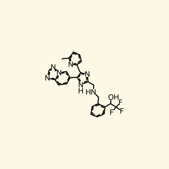 Cc1cccc(-c2nc(CNCc3ccccc3C(O)C(F)(F)F)[nH]c2-c2ccc3ncnn3c2)n1